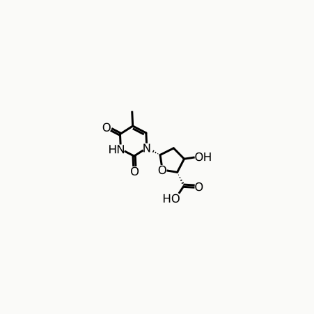 Cc1cn([C@@H]2CC(O)[C@H](C(=O)O)O2)c(=O)[nH]c1=O